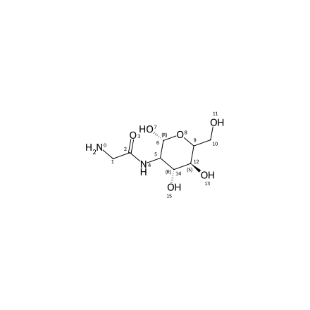 NCC(=O)NC1[C@H](O)OC(CO)[C@@H](O)[C@@H]1O